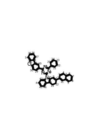 C1=C(c2ccc3ccccc3c2)CCc2c1n(-c1nc(-c3ccccc3)nc(-c3ccc4oc5ccccc5c4c3)n1)c1ccccc21